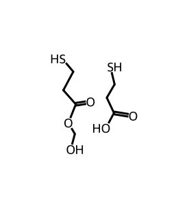 O=C(CCS)OCO.O=C(O)CCS